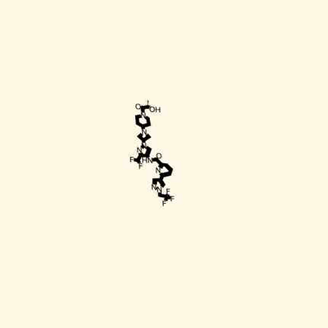 C[C@H](O)C(=O)N1CCC(N2CC(n3cc(NC(=O)c4cccc(-c5cnn(CC(F)(F)F)c5)n4)c(C(F)F)n3)C2)CC1